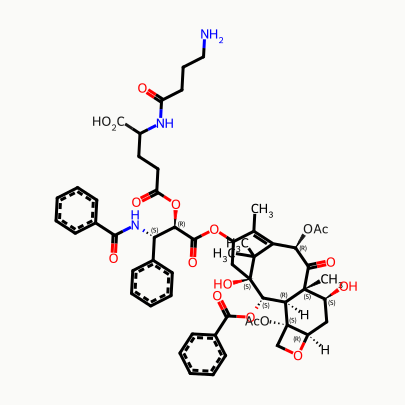 CC(=O)O[C@H]1C(=O)[C@@]2(C)[C@H]([C@H](OC(=O)c3ccccc3)[C@]3(O)CC(OC(=O)[C@H](OC(=O)CCC(NC(=O)CCCN)C(=O)O)[C@@H](NC(=O)c4ccccc4)c4ccccc4)C(C)=C1C3(C)C)[C@]1(OC(C)=O)CO[C@@H]1C[C@@H]2O